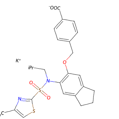 Cc1csc(S(=O)(=O)N(CC(C)C)c2cc3c(cc2OCc2ccc(C(=O)[O-])cc2)CCC3)n1.[K+]